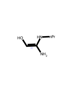 CCCN/C(N)=C\O